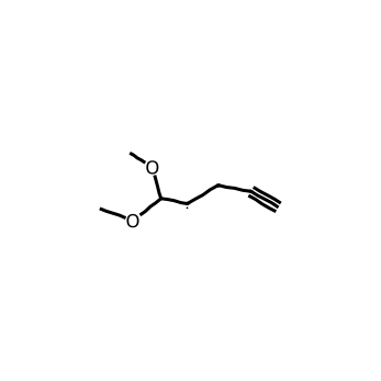 C#CC[CH]C(OC)OC